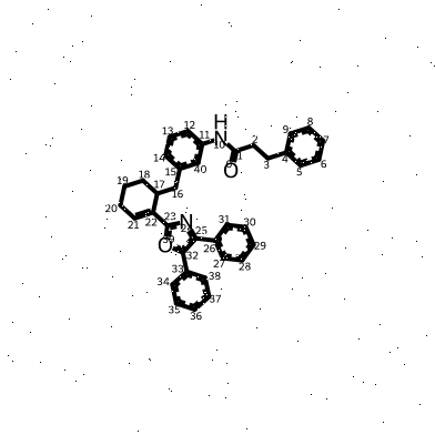 O=C(CCc1ccccc1)Nc1cccc(CC2CCCC=C2c2nc(-c3ccccc3)c(-c3ccccc3)o2)c1